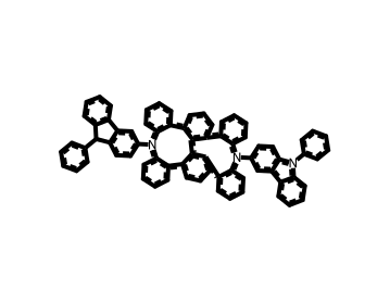 c1ccc(C2c3ccccc3-c3cc(-n4c5ccccc5c5cccc6c7ccccc7n(-c7ccc8c(c7)c7ccccc7n8-c7ccccc7)c7ccccc7c7cccc(c8ccccc84)c7c56)ccc32)cc1